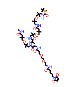 CNC(=O)CC(C)(C)COCC(C)(C)CNC(=O)[C@H](CCC(=O)NCC(C)(C)COCC(C)(C)CC(=O)NCC(C)(C)COCC(C)(C)CNC(=O)P(C)C(C)(C)C)NC(=O)CCOCCOCCNC(=O)CCCCN1C(=O)C=CC1=O